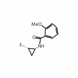 COc1ccccc1C(=O)N[C@@H]1C[C@@H]1F